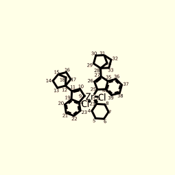 [Cl][Zr]([Cl])(=[C]1CCCCC1)([CH]1C=C(C23CCC(CC2)C3)c2ccccc21)[CH]1C=C(C23CCC(CC2)C3)c2ccccc21